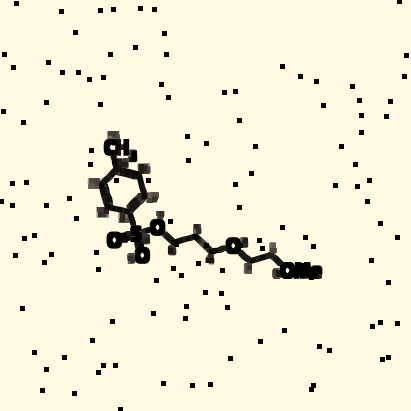 COCCOCCCOS(=O)(=O)c1ccc(C)cc1